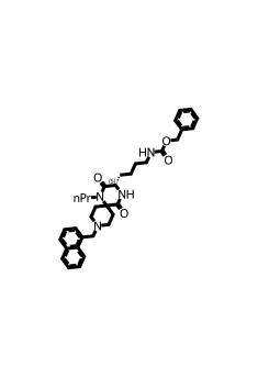 CCCN1C(=O)[C@H](CCCCNC(=O)OCc2ccccc2)NC(=O)C12CCN(Cc1cccc3ccccc13)CC2